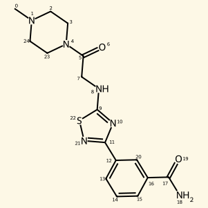 CN1CCN(C(=O)CNc2nc(-c3cccc(C(N)=O)c3)ns2)CC1